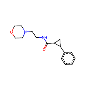 O=C(NCCN1CCOCC1)C1CC1c1ccccc1